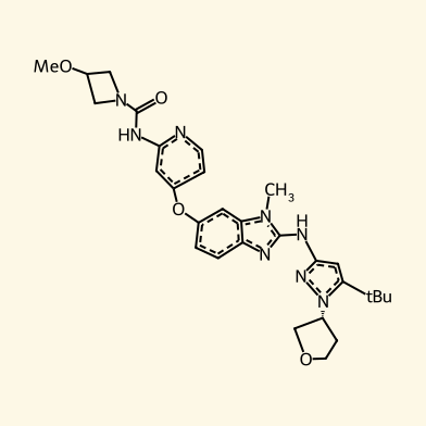 COC1CN(C(=O)Nc2cc(Oc3ccc4nc(Nc5cc(C(C)(C)C)n([C@@H]6CCOC6)n5)n(C)c4c3)ccn2)C1